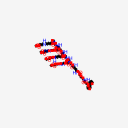 CCN(CCNC(=O)CN(CCNC(=O)CN(CCNC(=O)CN(CCNC(=O)CCCCCNC(=O)CCCCCNC(=O)OCC1c2ccccc2-c2ccccc21)C(=O)CCCCCNCCCC(=O)OC(C)(C)C)C(=O)CCCCCNCCCC(=O)OC(C)(C)C)C(=O)CCCCCNCCCC(=O)OC(C)(C)C)C(=O)CCCCCNCCCC(=O)OC(C)(C)C